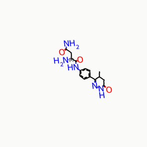 CC1CC(=O)NN=C1c1ccc(NC(=O)[C@H](N)CC(N)=O)cc1